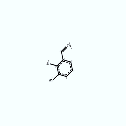 C=[C]c1cccc(C(C)C)c1Br